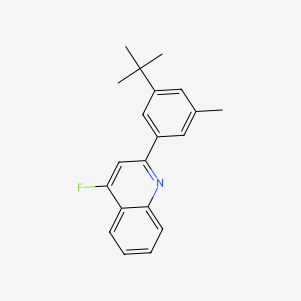 Cc1cc(-c2cc(F)c3ccccc3n2)cc(C(C)(C)C)c1